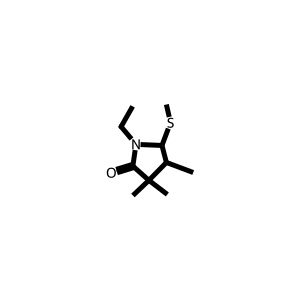 CCN1C(=O)C(C)(C)C(C)C1SC